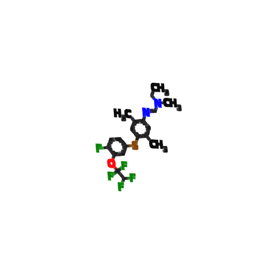 CCN(C)C=Nc1cc(C)c(Sc2ccc(F)c(OC(F)(F)C(F)F)c2)cc1C